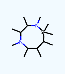 CC1C(C)N(C)C(C)C(C)N(C)[Si](C)(C)C1C